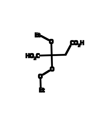 CCOOC(CC(=O)O)(OCC)C(=O)O